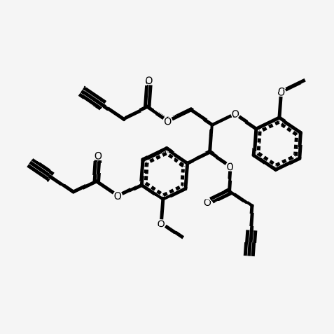 C#CCC(=O)OCC(Oc1ccccc1OC)C(OC(=O)CC#C)c1ccc(OC(=O)CC#C)c(OC)c1